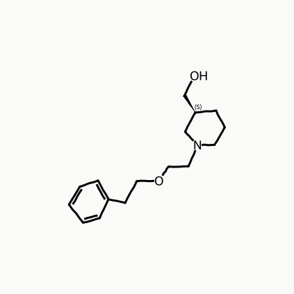 OC[C@H]1CCCN(CCOCCc2ccccc2)C1